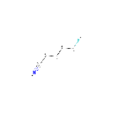 N#CCCCCF